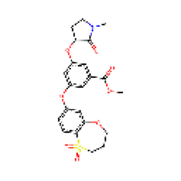 COC(=O)c1cc(Oc2ccc3c(c2)OCCCS3(=O)=O)cc(OC2CCN(C)C2=O)c1